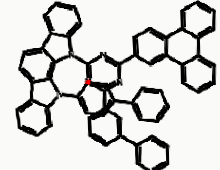 c1ccc(-c2ccc(-n3c4ccccc4c4ccc5c6ccccc6n(-c6nc(-c7cccc(-c8ccccc8)c7)nc(-c7ccc8c9ccccc9c9ccccc9c8c7)n6)c5c43)cc2)cc1